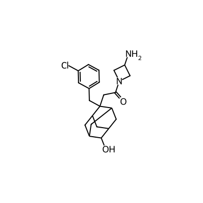 NC1CN(C(=O)CC2(Cc3cccc(Cl)c3)C3CC4CC2CC(C3)C4O)C1